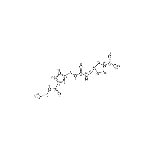 CCOC(=O)c1cc(COC(=O)NC2C3CN(C(=O)O)CC32)on1